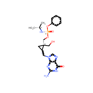 C[C@H](N[P@](=O)(OC[C@@]1(CO)C/C1=C/n1cnc2c(=O)[nH]c(N)nc21)Oc1ccccc1)C(=O)O